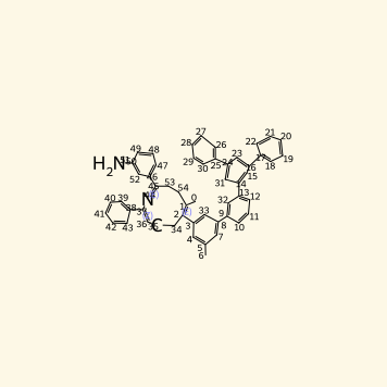 C/C1=C(\c2cc(C)cc(-c3cccc(-c4cc(-c5ccccc5)cc(-c5ccccc5)c4)c3)c2)CC/C=C(c2ccccc2)\N=C(\c2cccc(N)c2)CC1